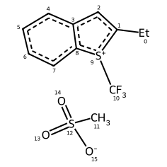 CCc1cc2ccccc2[s+]1C(F)(F)F.CS(=O)(=O)[O-]